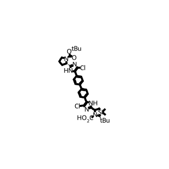 CC(C)(C)OC(=O)N1CCC[C@H]1c1nc(Cl)c(-c2ccc(-c3ccc(-c4[nH]c(C5C[Si](C)(C)[C@H](C(C)(C)C)N5C(=O)O)nc4Cl)cc3)cc2)[nH]1